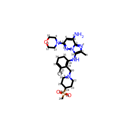 Cc1nc2c(N)cc(N3CCOCC3)nn2c1NC1=C(CN2CCC(S(C)(=O)=O)CC2)C(C(F)(F)F)=CCC1